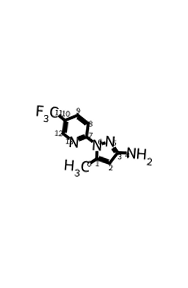 Cc1cc(N)nn1-c1ccc(C(F)(F)F)cn1